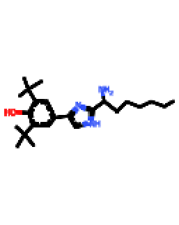 CCCCCCC(N)c1nc(-c2cc(C(C)(C)C)c(O)c(C(C)(C)C)c2)c[nH]1